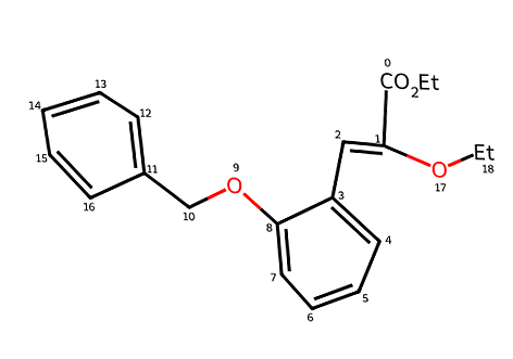 CCOC(=O)C(=Cc1ccccc1OCc1ccccc1)OCC